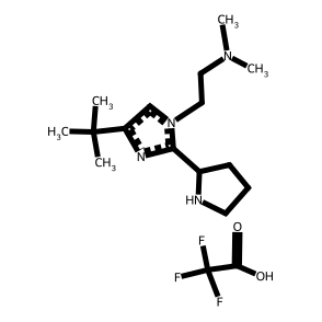 CN(C)CCn1cc(C(C)(C)C)nc1C1CCCN1.O=C(O)C(F)(F)F